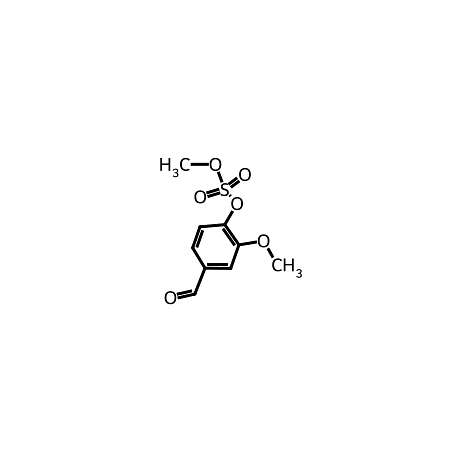 COc1cc(C=O)ccc1OS(=O)(=O)OC